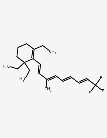 CCC1=C(C=CC(C)=CC=CC=CC(F)(F)F)C(CC)(CC)CCC1